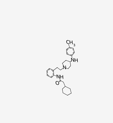 Cc1ccc(NC2CCN(CCc3ccccc3NC(=O)CC3CCCCC3)CC2)cc1